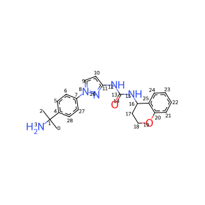 CC(C)(N)c1ccc(-n2ccc(NC(=O)NC3CCOc4ccccc43)n2)cc1